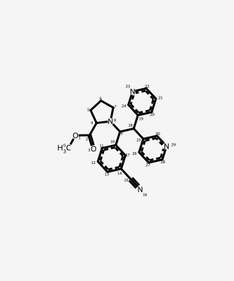 COC(=O)C1CCCN1C(c1cccc(C#N)c1)C(c1cccnc1)c1cccnc1